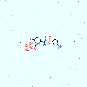 CNC1CCC(S(=O)(=O)NC(=N)[C@@H]2CC[C@@H]3CN2C(=O)N3OS(=O)(=O)O)C1